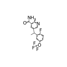 Cc1ncc(C(C)c2cc(OC(F)(F)F)ccc2F)cc1C(N)=O